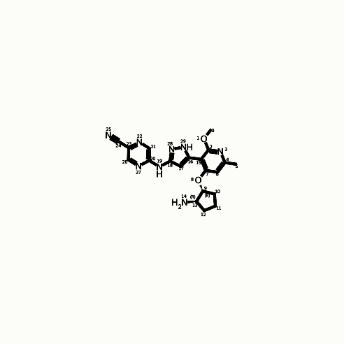 COc1nc(C)cc(O[C@@H]2CCC[C@H]2N)c1-c1cc(Nc2cnc(C#N)cn2)n[nH]1